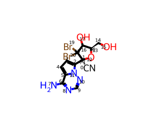 N#C[C@@]1(c2ccc3c(N)ncnn23)O[C@H](CO)C(O)C1(Br)Br